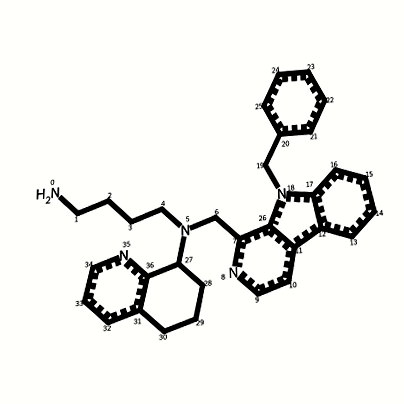 NCCCCN(Cc1nccc2c3ccccc3n(Cc3ccccc3)c12)C1CCCc2cccnc21